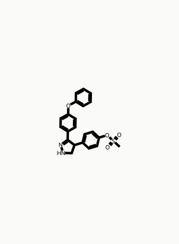 CS(=O)(=O)Oc1ccc(C2CNN=C2c2ccc(Oc3ccccc3)cc2)cc1